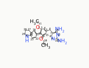 CCOc1cc(Cc2cnc(N)nc2N)cc(OCC)c1-c1ccc2c(c1)CCCN2